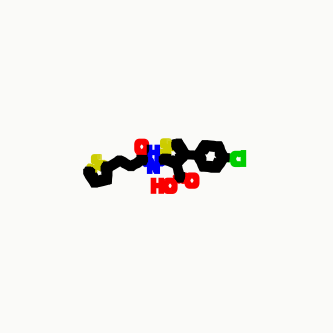 O=C(CCc1cccs1)Nc1scc(-c2ccc(Cl)cc2)c1C(=O)O